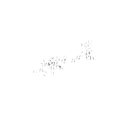 Cn1c(=O)n(C2CCC(=O)NC2=O)c2ccc(N3CCN(CCCC(=O)N4CC[C@H]5CC[C@@H](C(=O)N[C@@H](CCC(N)=O)C(=O)NC(c6ccccc6)c6ccccc6)N5C(=O)[C@@H](N)C4)CC3)cc21